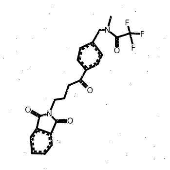 CN(Cc1ccc(C(=O)CCCN2C(=O)c3ccccc3C2=O)cc1)C(=O)C(F)(F)F